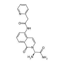 NC(=O)[C@@H](N)n1ccc2c(NC(=O)Cc3ccccn3)cccc2c1=O